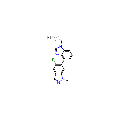 CCOC(=O)Cn1cnc2c(-c3cc4c(cnn4C)cc3F)cccc21